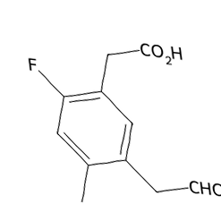 Cc1cc(F)c(CC(=O)O)cc1CC=O